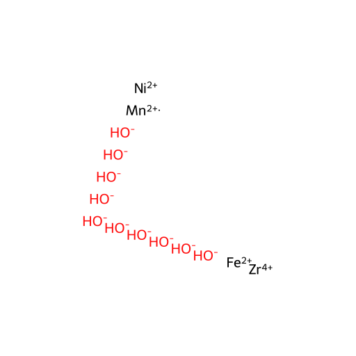 [Fe+2].[Mn+2].[Ni+2].[OH-].[OH-].[OH-].[OH-].[OH-].[OH-].[OH-].[OH-].[OH-].[OH-].[Zr+4]